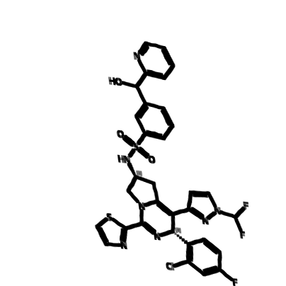 O=S(=O)(N[C@H]1CC2=C(c3ccn(C(F)F)n3)[C@H](c3ccc(F)cc3Cl)N=C(c3nccs3)N2C1)c1cccc(C(O)c2ccccn2)c1